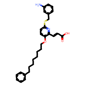 Nc1cccc(CSc2ccc(OCCCCCCCCc3ccccc3)c(C=CC(=O)O)n2)c1